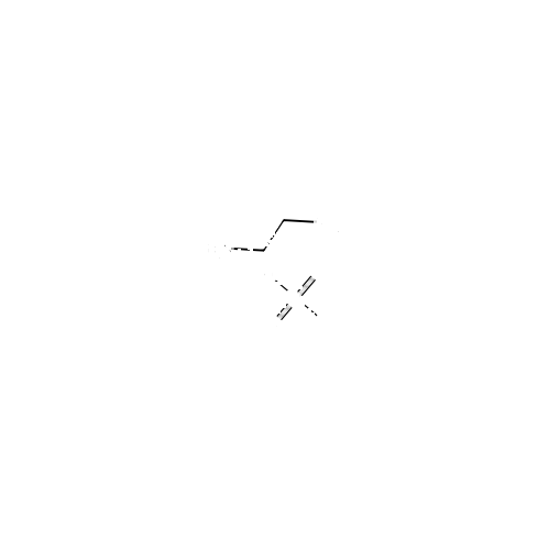 NCCN.[O]=[Cr](=[O])([OH])[OH]